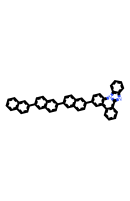 c1ccc2cc(-c3ccc4cc(-c5ccc6cc(-c7ccc8c(c7)c7ccccc7c7nc9ccccc9n87)ccc6c5)ccc4c3)ccc2c1